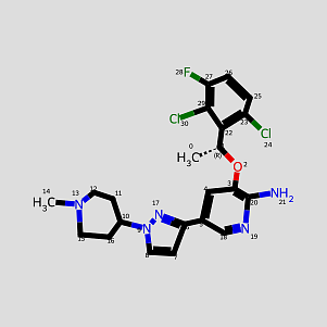 C[C@@H](Oc1cc(-c2ccn(C3CCN(C)CC3)n2)cnc1N)c1c(Cl)ccc(F)c1Cl